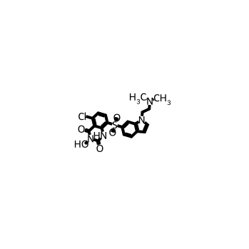 CN(C)CCn1ccc2ccc(S(=O)(=O)c3ccc(Cl)c4c(=O)n(O)c(=O)[nH]c34)cc21